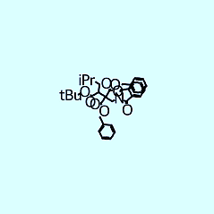 CC(C)CC(C(=O)OC(C)(C)C)C(CN1C(=O)c2ccccc2C1=O)(C(=O)OCc1ccccc1)C(=O)OCc1ccccc1